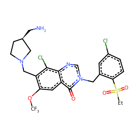 CCS(=O)(=O)c1ccc(Cl)cc1Cn1cnc2c(Cl)c(CN3CC[C@@H](CN)C3)c(OC(F)(F)F)cc2c1=O